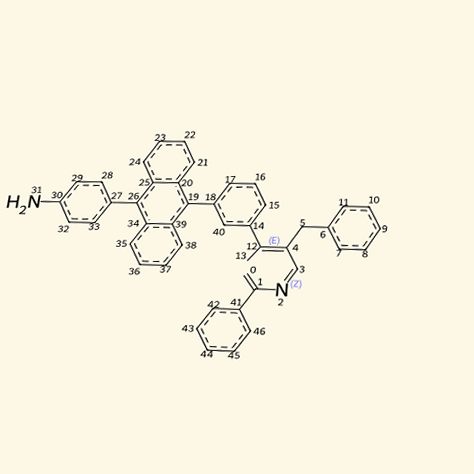 C=C(/N=C\C(Cc1ccccc1)=C(/C)c1cccc(-c2c3ccccc3c(-c3ccc(N)cc3)c3ccccc23)c1)c1ccccc1